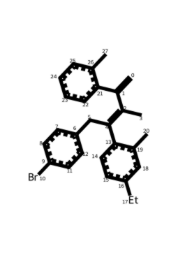 C=C(/C(C)=C(\Cc1ccc(Br)cc1)c1ccc(CC)cc1C)c1ccccc1C